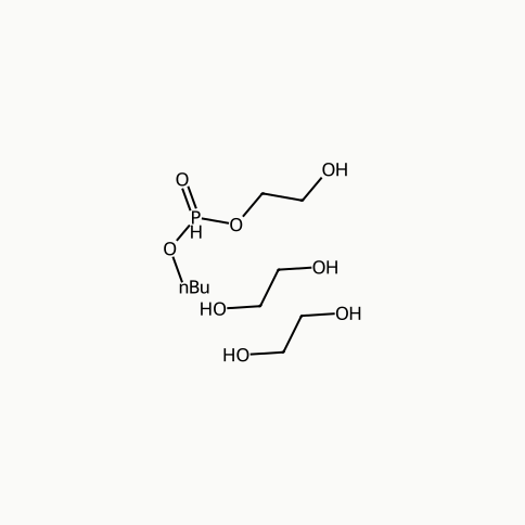 CCCCO[PH](=O)OCCO.OCCO.OCCO